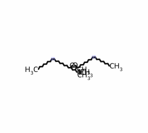 CCCCCCCC/C=C\CCCCCCCC(=O)CC(C[N+](C)(C)C)C(=O)CCCCCCC/C=C\CCCCCCCC